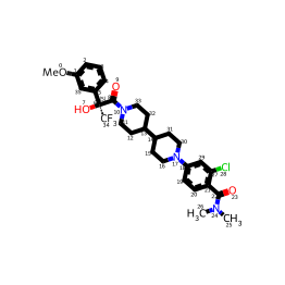 COc1cccc([C@](O)(C(=O)N2CCC(C3CCN(c4ccc(C(=O)N(C)C)c(Cl)c4)CC3)CC2)C(F)(F)F)c1